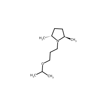 CC(C)OCCCN1[C@H](C)CC[C@H]1C